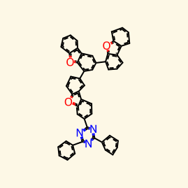 c1ccc(-c2nc(-c3ccccc3)nc(-c3ccc4c(c3)oc3ccc(-c5cc(-c6cccc7c6oc6ccccc67)cc6c5oc5ccccc56)cc34)n2)cc1